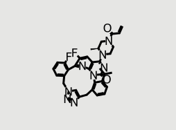 C=CC(=O)N1CCN(c2nc(=O)n3c4nc(c(F)cc24)-c2c(F)cccc2Cn2cc(nn2)Cc2cccc(C(C)C)c2-3)[C@@H](C)C1